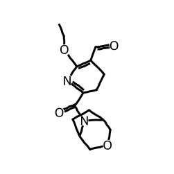 CCOC1=C(C=O)CCC(C(=O)N2C3CCC2COC3)=N1